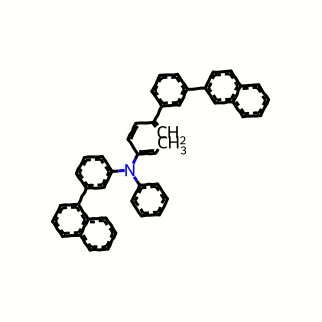 C=C(/C=C\C(=C/C)N(c1ccccc1)c1cccc(-c2cccc3ccccc23)c1)c1cccc(-c2ccc3ccccc3c2)c1